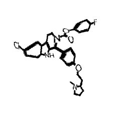 CN1CCCC1CCOc1ccc(C2C3=C(CCN2C(=O)Oc2ccc(F)cc2)C2C=C(Cl)C=CC2N3)cc1